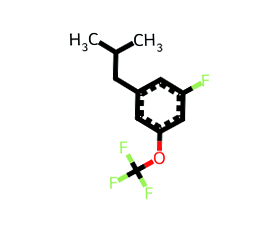 CC(C)Cc1cc(F)cc(OC(F)(F)F)c1